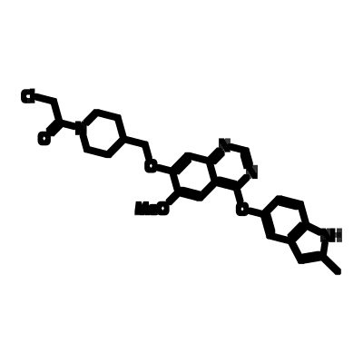 COc1cc2c(Oc3ccc4[nH]c(C)cc4c3)ncnc2cc1OCC1CCN(C(=O)CCl)CC1